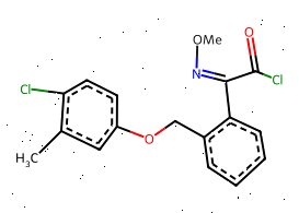 CON=C(C(=O)Cl)c1ccccc1COc1ccc(Cl)c(C)c1